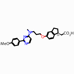 COc1ccc(-c2nccc(N(C)CCCOc3ccc4c(c3)CC[C@H]4CC(=O)O)n2)cc1